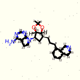 CC1(C)O[C@@H]2[C@@H](CCCc3cccc4ccncc34)C[C@@H](n3ccc4c(N)ncnc43)[C@@H]2O1